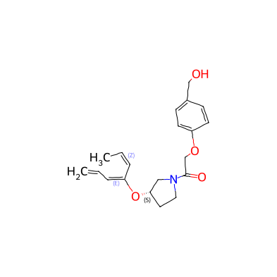 C=C/C=C(\C=C/C)O[C@H]1CCN(C(=O)COc2ccc(CO)cc2)C1